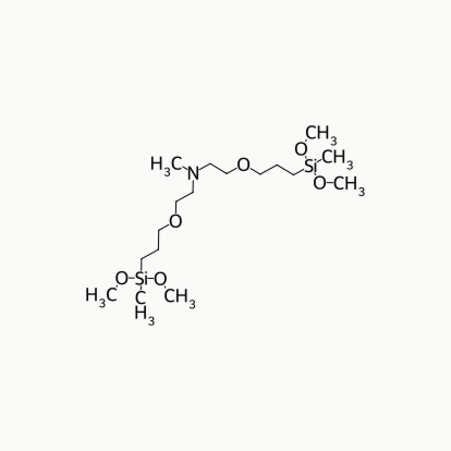 CO[Si](C)(CCCOCCN(C)CCOCCC[Si](C)(OC)OC)OC